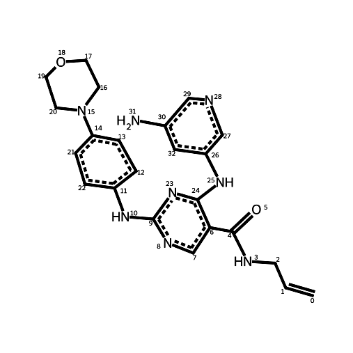 C=CCNC(=O)c1cnc(Nc2ccc(N3CCOCC3)cc2)nc1Nc1cncc(N)c1